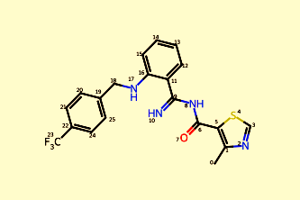 Cc1ncsc1C(=O)NC(=N)c1ccccc1NCc1ccc(C(F)(F)F)cc1